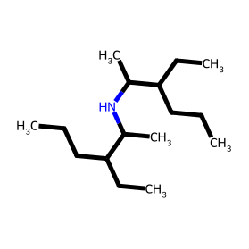 CCCC(CC)C(C)NC(C)C(CC)CCC